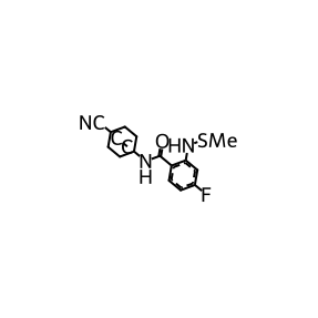 CSNc1cc(F)ccc1C(=O)NC12CCC(C#N)(CC1)CC2